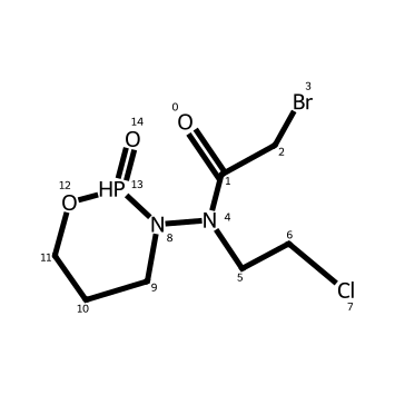 O=C(CBr)N(CCCl)N1CCCO[PH]1=O